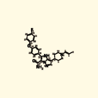 CC=CN1CCC(c2cnn3c(C(N)=O)c(-c4ccc(Oc5ccc(F)cc5)cc4)[nH]c23)CC1